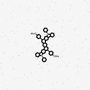 COc1ccc(-c2cc3cc4c(cc(-c5ccc(OC)cc5)c5cc6c(cc54)c4ccccc4n6-c4ccccc4)cc3c3cc4c5ccccc5n(-c5ccccc5)c4cc23)cc1